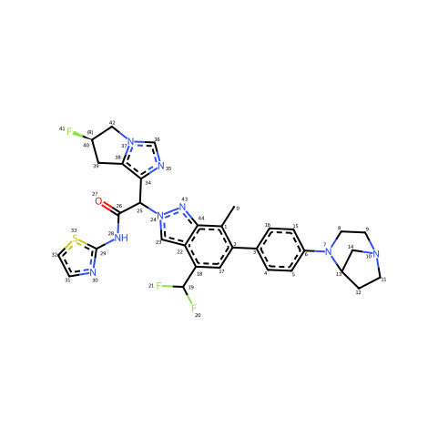 Cc1c(-c2ccc(N3CCN4CCC3C4)cc2)cc(C(F)F)c2cn(C(C(=O)Nc3nccs3)c3ncn4c3C[C@@H](F)C4)nc12